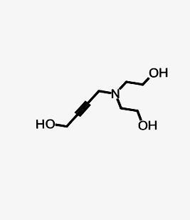 OCC#CCN(CCO)CCO